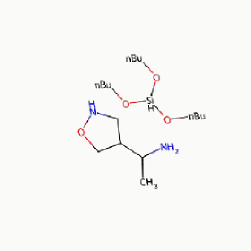 CC(N)C1CNOC1.CCCCO[SiH](OCCCC)OCCCC